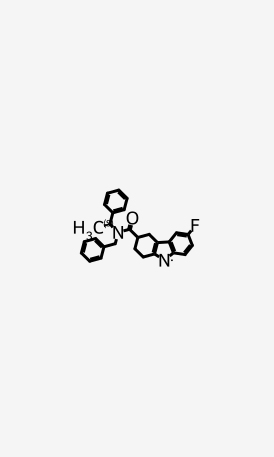 C[C@@H](c1ccccc1)N(Cc1ccccc1)C(=O)C1CCC2=C(C1)c1cc(F)ccc1[N]2